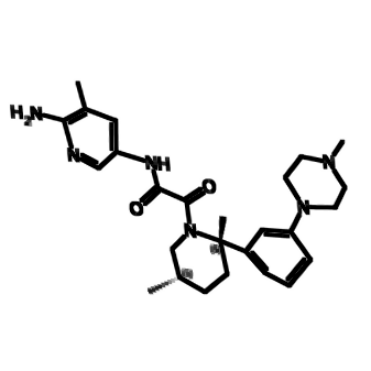 Cc1cc(NC(=O)C(=O)N2C[C@@H](C)CC[C@@]2(C)c2cccc(N3CCN(C)CC3)c2)cnc1N